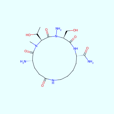 CC(O)[C@H]1C(=O)N(N)[C@@H](CO)C(=O)N[C@H](C(N)=O)CCCCNC(=O)CC[C@H](N)C(=O)N1C